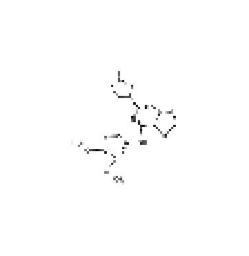 COc1ccc(Nc2nc([C@H]3CCNC3)cn3ncnc23)cc1OC